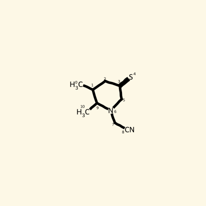 CC1CC(=S)CN(CC#N)C1C